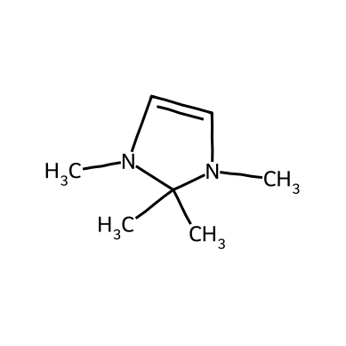 CN1C=CN(C)C1(C)C